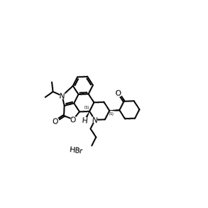 Br.CCCN1C[C@H](C2CCCCC2=O)CC2c3cccc4c3c3c(n4C(C)C)C(=O)OC3[C@H]21